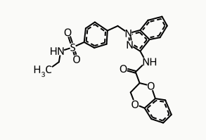 CCNS(=O)(=O)c1ccc(Cn2nc(NC(=O)C3COc4ccccc4O3)c3ccccc32)cc1